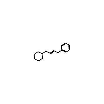 C(=CCC1CCCCC1)Cc1ccccc1